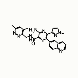 Cc1cc(C)c(CNC(=O)c2nc(-c3ccc4ncccc4c3)c(-c3ccn(C)n3)nc2N)nn1